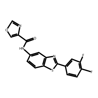 O=C(Nc1ccc2sc(-c3ccc(F)c(F)c3)nc2c1)c1cocn1